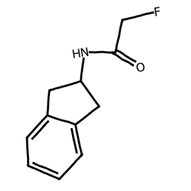 O=C(CF)NC1Cc2ccccc2C1